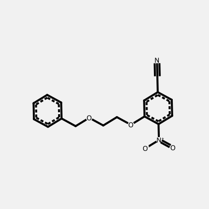 N#Cc1ccc([N+](=O)[O-])c(OCCOCc2ccccc2)c1